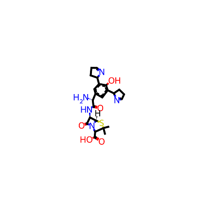 CC1(C)S[C@@H]2[C@H](NC(=O)[C@H](N)c3cc(C4CCC=N4)c(O)c(C4CCC=N4)c3)C(=O)N2C1C(=O)O